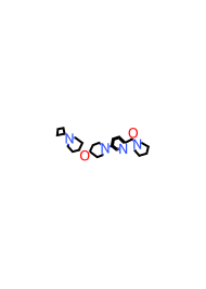 O=C(c1ccc(N2CCC(OC3CCN(C4CCC4)CC3)CC2)cn1)N1CCCCC1